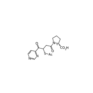 CC(=O)SC(CC(=O)N1CCC[C@H]1C(=O)O)C(=O)c1ccncn1